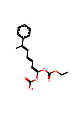 CCOC(=O)OC(=CC=CC=C(C)c1ccccc1)OC(=O)O